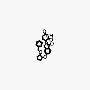 O=C1CCC(N2Cc3cc(OC4CCCC4OCc4ccccc4)ccc3C2=O)C(=O)N1